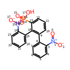 O=[N+]([O-])c1ccccc1-c1cccc(P(=O)(O)O)c1-c1ccccc1[N+](=O)[O-]